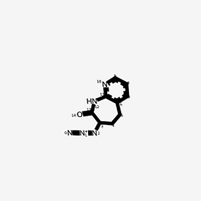 [N-]=[N+]=NC1CCc2cccnc2NC1=O